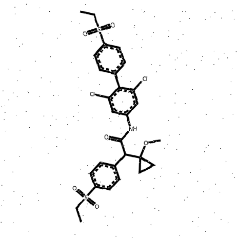 CCS(=O)(=O)c1ccc(-c2c(Cl)cc(NC(=O)C(c3ccc(S(=O)(=O)CC)cc3)C3(OC)CC3)cc2Cl)cc1